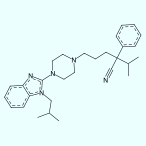 CC(C)Cn1c(N2CCN(CCCC(C#N)(c3ccccc3)C(C)C)CC2)nc2ccccc21